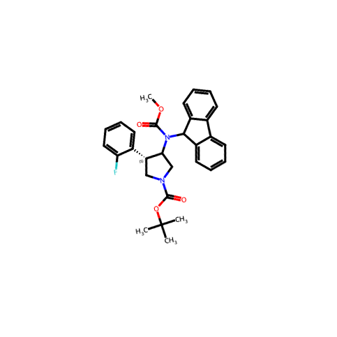 COC(=O)N(C1c2ccccc2-c2ccccc21)C1CN(C(=O)OC(C)(C)C)C[C@@H]1c1ccccc1F